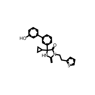 C=C1NC(c2cccc(-c3cccc(O)c3)c2)(C2CC2)C(=O)N1CCc1cccs1